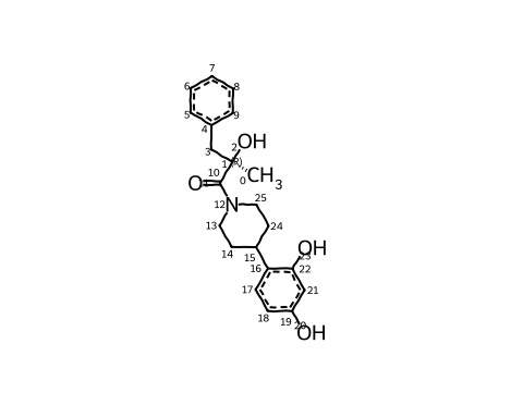 C[C@@](O)(Cc1ccccc1)C(=O)N1CCC(c2ccc(O)cc2O)CC1